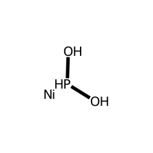 OPO.[Ni]